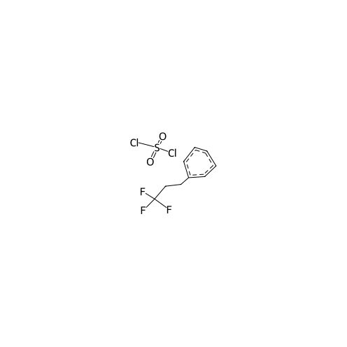 FC(F)(F)CCc1ccccc1.O=S(=O)(Cl)Cl